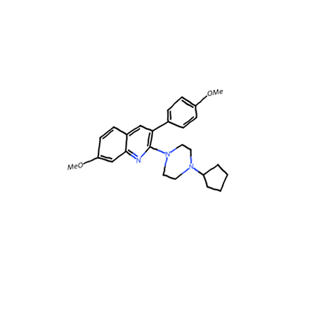 COc1ccc(-c2cc3ccc(OC)cc3nc2N2CCN(C3CCCC3)CC2)cc1